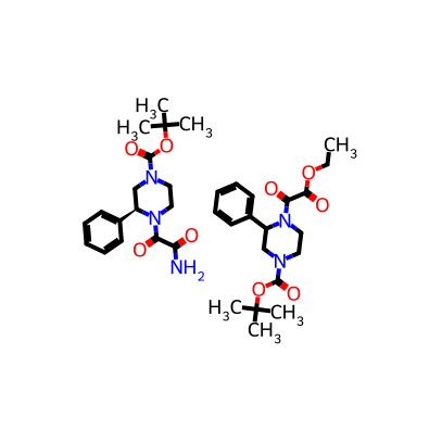 CC(C)(C)OC(=O)N1CCN(C(=O)C(N)=O)[C@@H](c2ccccc2)C1.CCOC(=O)C(=O)N1CCN(C(=O)OC(C)(C)C)CC1c1ccccc1